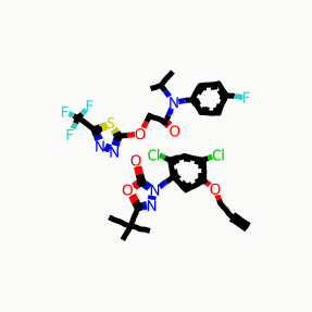 C#CCOc1cc(-n2nc(C(C)(C)C)oc2=O)c(Cl)cc1Cl.CC(C)N(C(=O)COc1nnc(C(F)(F)F)s1)c1ccc(F)cc1